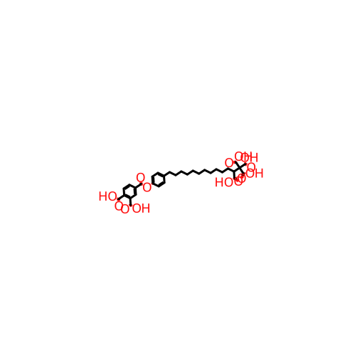 O=C(Oc1ccc(CCCCCCCCCCCC(C(=O)O)C(C(=O)O)(C(=O)O)C(=O)O)cc1)c1ccc(C(=O)O)c(C(=O)O)c1